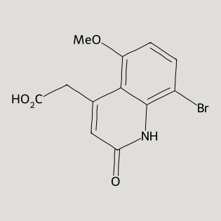 COc1ccc(Br)c2[nH]c(=O)cc(CC(=O)O)c12